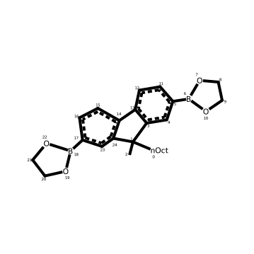 CCCCCCCCC1(C)c2cc(B3OCCO3)ccc2-c2ccc(B3OCCO3)cc21